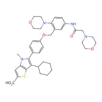 Cn1c(-c2ccc(OCc3cc(NC(=O)CN4CCOCC4)ccc3N3CCOCC3)cc2)c(C2CCCCC2)c2sc(C(=O)O)cc21